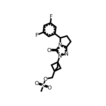 CS(=O)(=O)OCC12CC(n3nc4n(c3=O)C(c3cc(F)cc(F)c3)CC4)(C1)C2